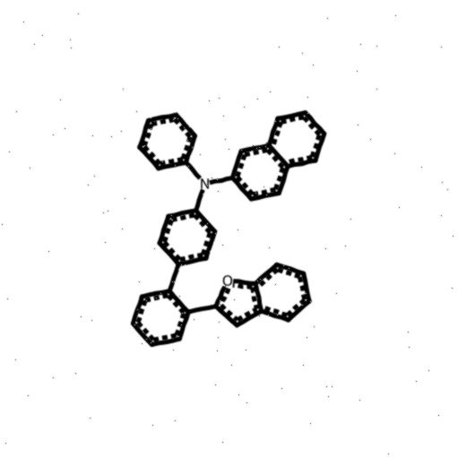 c1ccc(N(c2ccc(-c3ccccc3-c3cc4ccccc4o3)cc2)c2ccc3ccccc3c2)cc1